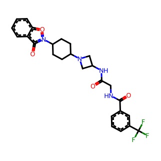 O=C(CNC(=O)c1cccc(C(F)(F)F)c1)NC1CN(C2CCC(n3oc4ccccc4c3=O)CC2)C1